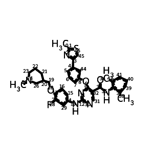 Cc1nc(-c2cccc(Oc3nc(Nc4ccc(OCC5CCCN(C)C5)c(F)c4)ncc3C(=O)Nc3c(C)cccc3C)c2)cs1